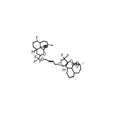 C[C@@H]1CC[C@H]2C(COC/C=C/CO[C@@]3(C(F)(F)F)O[C@@H]4O[C@]5(C)CCC6[C@H](C)CC[C@@H]([C@H]3C)[C@]64OO5)=C(C(F)(F)F)O[C@@H]3O[C@]4(C)CCC1[C@]32OO4